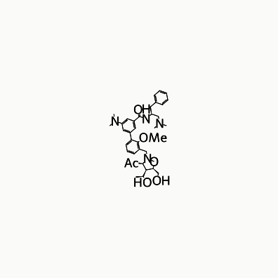 COc1c(CN2O[C@@H](CO)[C@@H]([C@H](C)O)[C@H]2C(C)=O)cccc1-c1cc(C(=O)N[C@@H](Cc2ccccc2)CN(C)C)cc(N(C)C)c1